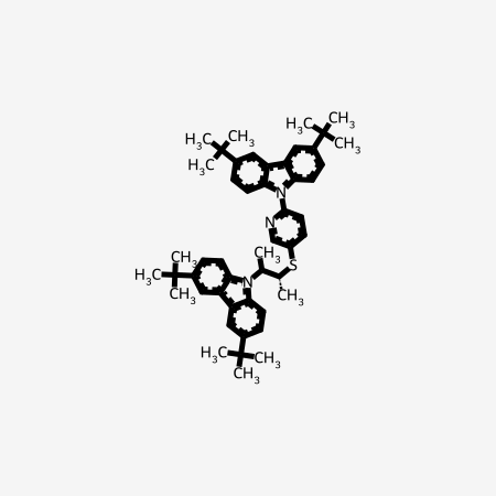 CC([C@@H](C)Sc1ccc(-n2c3ccc(C(C)(C)C)cc3c3cc(C(C)(C)C)ccc32)nc1)n1c2ccc(C(C)(C)C)cc2c2cc(C(C)(C)C)ccc21